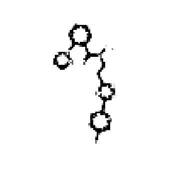 CN(CCc1noc(-c2ccc(F)cn2)n1)C(=O)c1ccccc1-n1nccn1